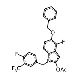 CC(=O)Oc1cc2c(F)c(OCc3ccccc3)ccc2n1Cc1ccc(F)c(C(F)(F)F)c1